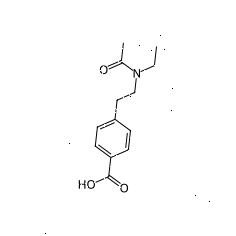 CCN(CCc1ccc(C(=O)O)cc1)C(C)=O